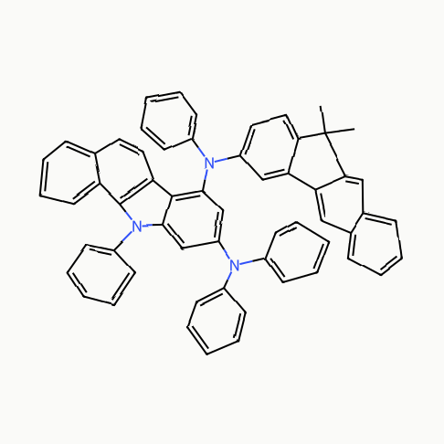 CC1(C)c2ccc(N(c3ccccc3)c3cc(N(c4ccccc4)c4ccccc4)cc4c3c3ccc5ccccc5c3n4-c3ccccc3)cc2-c2cc3ccccc3cc21